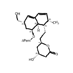 CCCCCO[C@H]1C[C@H](CO)C=C2C=C[C@H](C)[C@H](CC[C@@H]3C[C@@H](O)CC(=O)O3)[C@H]21